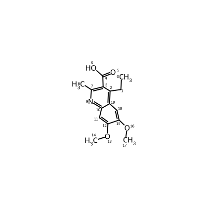 CCc1c(C(=O)O)c(C)nc2cc(OC)c(OC)cc12